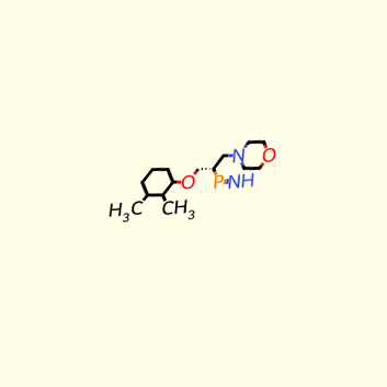 CC1CCCC(OC[C@H](CN2CCOCC2)P=N)C1C